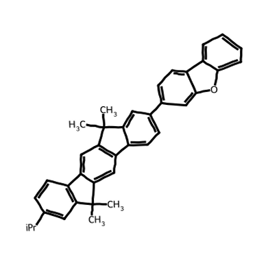 CC(C)c1ccc2c(c1)C(C)(C)c1cc3c(cc1-2)C(C)(C)c1cc(-c2ccc4c(c2)oc2ccccc24)ccc1-3